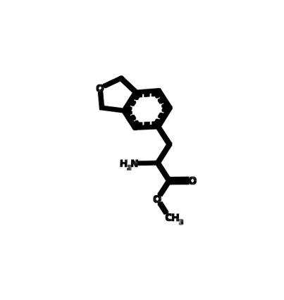 COC(=O)C(N)Cc1ccc2c(c1)COC2